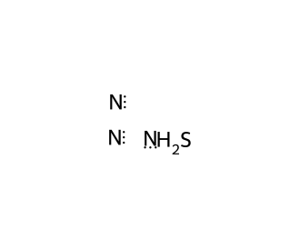 S.[N].[N].[N]